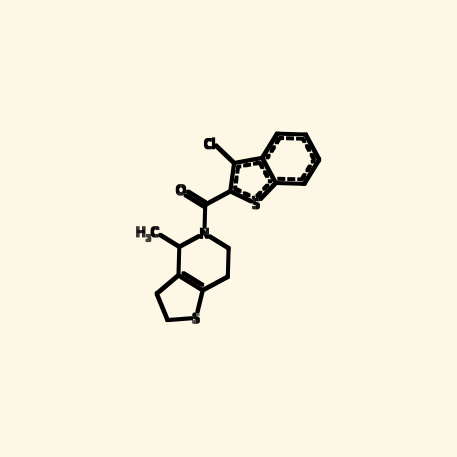 CC1C2=C(CCN1C(=O)c1sc3ccccc3c1Cl)SCC2